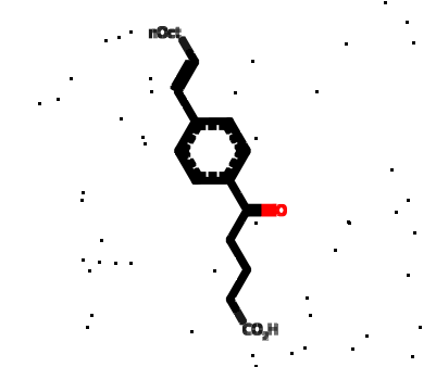 CCCCCCCCC=Cc1ccc(C(=O)CCCC(=O)O)cc1